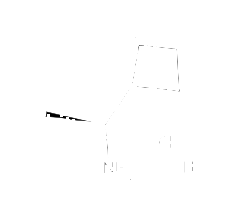 C[C@H](N)C1CCC1.[Cl-].[H+]